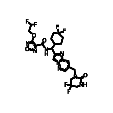 O=C(NC(c1cn2ncc(CN3CC(F)(F)CNC3=O)cc2n1)C1CCC(F)(F)CC1)c1nonc1OCC(F)F